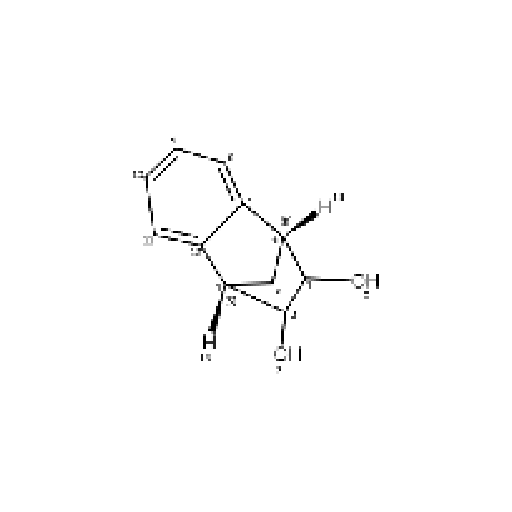 OC1C(O)[C@H]2C[C@@H]1c1ccccc12